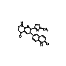 Cn1ccc(-c2nc3[nH]ccc(=O)c3cc2-c2ccc3[nH]c(=O)ccc3c2)n1